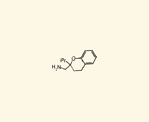 CC(C)C1(CN)CCc2ccccc2O1